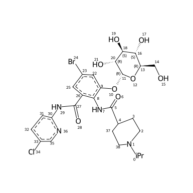 CC(C)N1CCC(C(=O)Nc2c(O[C@H]3O[C@H](CO)[C@@H](O)[C@H](O)[C@H]3O)cc(Br)cc2C(=O)Nc2ccc(Cl)cn2)CC1